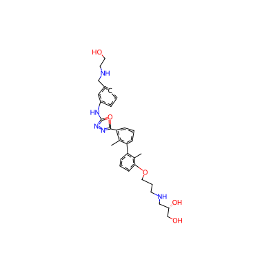 Cc1c(OCCCNC[C@H](O)CO)cccc1-c1cccc(-c2nnc(Nc3cccc(CNCCO)c3)o2)c1C